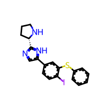 Ic1ccc(-c2cnc([C@@H]3CCCN3)[nH]2)cc1Sc1ccccc1